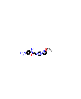 COc1cccc(N2CCN(CCC(=O)Nc3ccc(N)cc3)CC2)n1